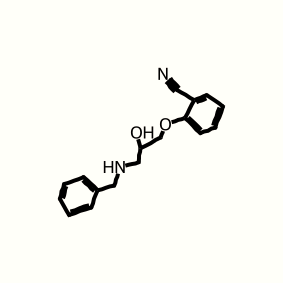 N#Cc1ccccc1OCC(O)CNCc1ccccc1